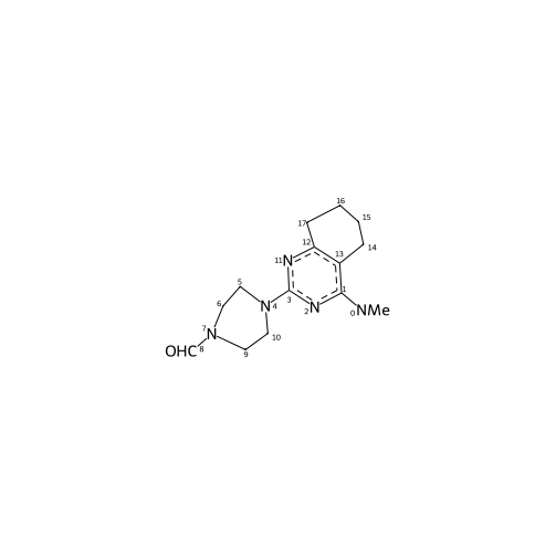 CNc1nc(N2CCN(C=O)CC2)nc2c1CCCC2